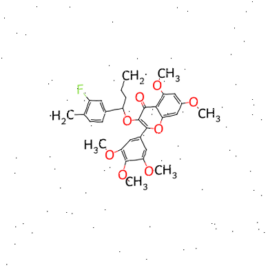 [CH2]CCC(Oc1c(-c2cc(OC)c(OC)c(OC)c2)oc2cc(OC)cc(OC)c2c1=O)c1ccc([CH2])c(F)c1